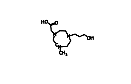 CN1CCN(CCCO)CCN(CC(=O)O)CC1